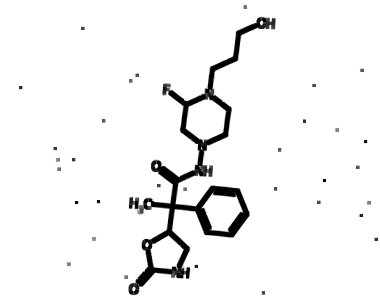 CC(C(=O)NN1CCN(CCCO)C(F)C1)(c1ccccc1)C1CNC(=O)O1